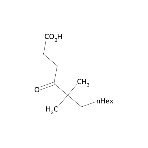 CCCCCCCC(C)(C)C(=O)CCC(=O)O